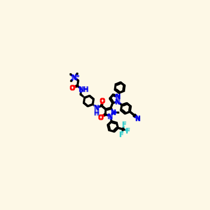 Cn1c(-c2ccnn2-c2ccc(C#N)cc2)c(C(=O)N[C@H]2CC[C@H](CNC(=O)C[N+](C)(C)C)CC2)c(=O)n1-c1cccc(C(F)(F)F)c1.c1ccccc1